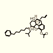 C=CCN1CC[C@]23c4c5ccc(OC(C)=O)c4O[C@H]2[C@@H](N(CCCCCCc2ccccc2)CC(C)C)CC[C@@]3(O)[C@H]1C5